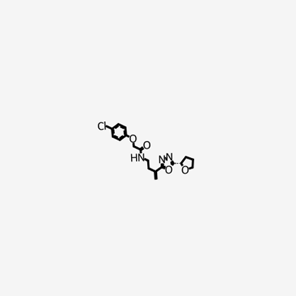 C=C(CCNC(=O)COc1ccc(Cl)cc1)c1nnc([C@@H]2CCCO2)o1